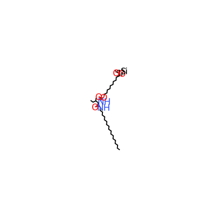 CCCCCCCCCCCCCCCCCCNC(=O)C(NC(=O)OCCCCCCCCCC[Si](C)(OC)O[Si](C)(C)C)C(C)CC